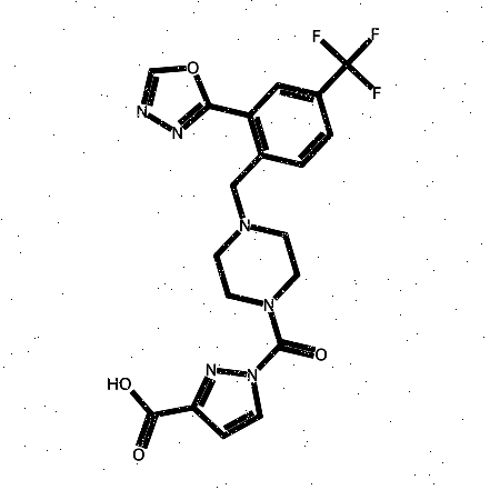 O=C(O)c1ccn(C(=O)N2CCN(Cc3ccc(C(F)(F)F)cc3-c3nnco3)CC2)n1